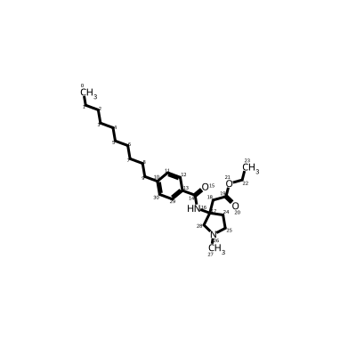 CCCCCCCCCCc1ccc(C(=O)NC2(CC(=O)OCC)CCN(C)C2)cc1